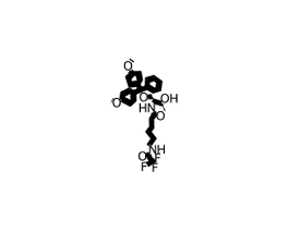 COc1ccc(C(OC[C@@H](NC(=O)CCCCCNC(=O)C(F)(F)F)[C@@H](C)O)(c2ccccc2)c2ccc(OC)cc2)cc1